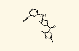 Cc1cc(C(=O)c2cnc(Nc3cccc(C#N)c3)s2)c(C)s1